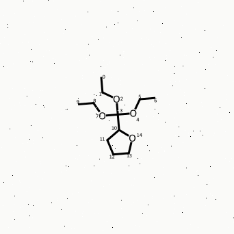 CCOC(OCC)(OCC)C1CCCO1